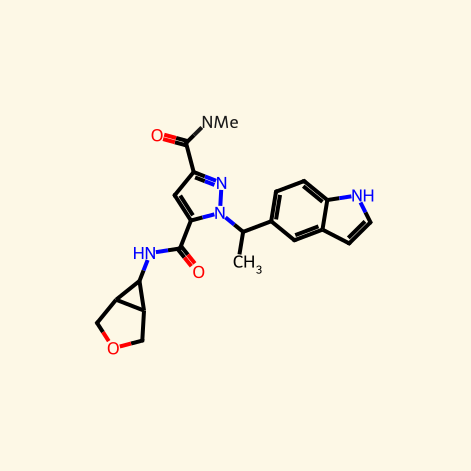 CNC(=O)c1cc(C(=O)NC2C3COCC32)n(C(C)c2ccc3[nH]ccc3c2)n1